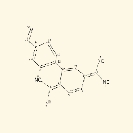 [C-]#[N+]C([N+]#[C-])=c1ccc(=C(C#N)C#N)c(-c2ccc(C=C)cc2)c1